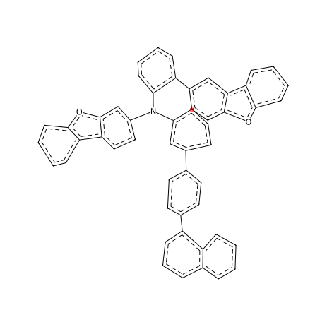 c1cc(-c2ccc(-c3cccc4ccccc34)cc2)cc(N(c2ccc3c(c2)oc2ccccc23)c2ccccc2-c2ccc3oc4ccccc4c3c2)c1